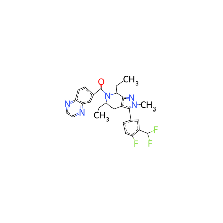 CCC1Cc2c(nn(C)c2-c2ccc(F)c(C(F)F)c2)C(CC)N1C(=O)c1ccc2nccnc2c1